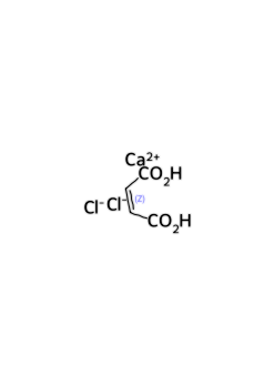 O=C(O)/C=C\C(=O)O.[Ca+2].[Cl-].[Cl-]